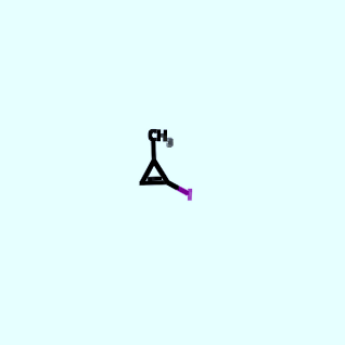 CC1C=C1I